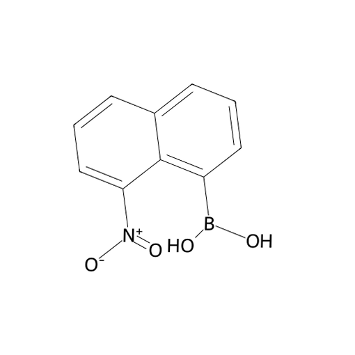 O=[N+]([O-])c1cccc2cccc(B(O)O)c12